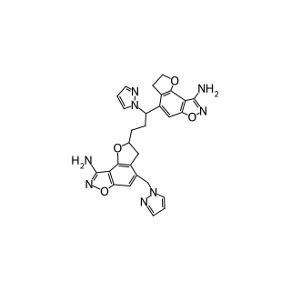 Nc1noc2cc(Cn3cccn3)c3c(c12)OC(CCC(c1cc2onc(N)c2c2c1CCO2)n1cccn1)C3